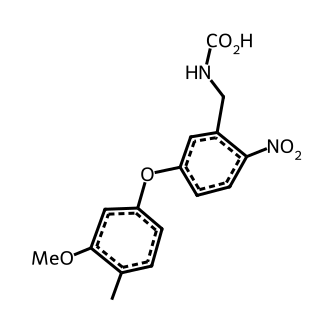 COc1cc(Oc2ccc([N+](=O)[O-])c(CNC(=O)O)c2)ccc1C